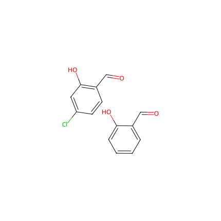 O=Cc1ccc(Cl)cc1O.O=Cc1ccccc1O